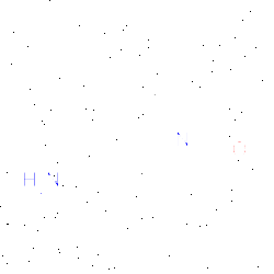 CC1(C)CC(N)C(C)(C)N1[O]